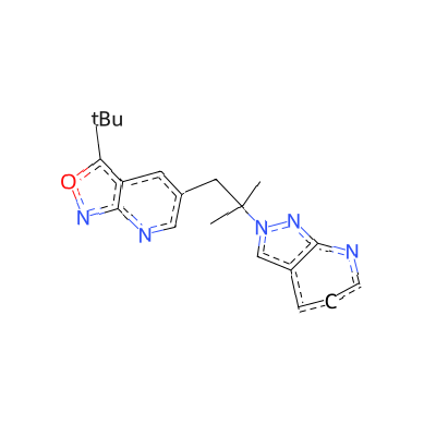 CC(C)(C)c1onc2ncc(CC(C)(C)n3cc4cccnc4n3)cc12